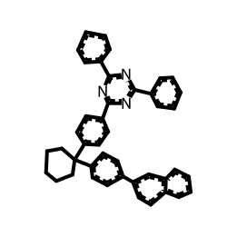 c1ccc(-c2nc(-c3ccccc3)nc(-c3ccc(C4(c5ccc(-c6ccc7ccccc7c6)cc5)CCCCC4)cc3)n2)cc1